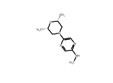 CNc1cnc(N2C[C@@H](C)O[C@@H](C)C2)cn1